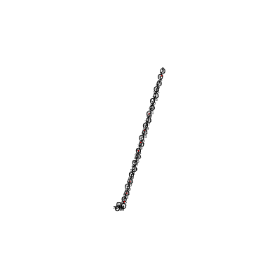 COCCOCCOCCOCCOCCOCCOCCOCCOCCOCCOCCOCCOCCOCCOCCOCCOCCOCCOCCOCCOCCOCCOC(C)C(=O)OC